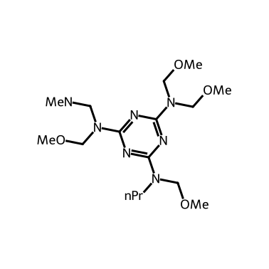 CCCN(COC)c1nc(N(CNC)COC)nc(N(COC)COC)n1